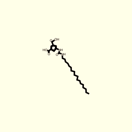 CCCCCCCCCCCCCCCCCCNC(=O)Nc1cc(C(=O)O)cc(C(=O)O)c1